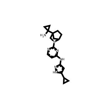 NC1(C23CCC(C2)N(c2nccc(Nc4cc(C5CC5)[nH]n4)n2)C3)CC1